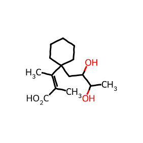 CC(C(=O)O)=C(C)C1(CC(O)C(C)O)CCCCC1